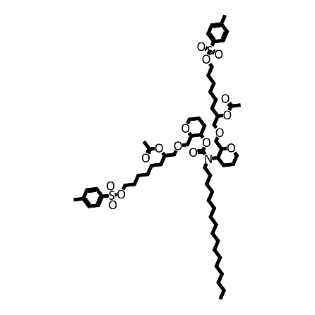 CCCCCCCCCCCCCCCCCN(C(=O)OC1CCCOC1COCC(CCCCCCOS(=O)(=O)c1ccc(C)cc1)OC(C)=O)C1CCCOC1COCC(CCCCCCOS(=O)(=O)c1ccc(C)cc1)OC(C)=O